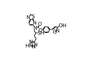 O=C(Oc1ccc(-c2cc(O)no2)cc1)N(CC(S)CCc1nn[nH]n1)c1ccc2ncsc2n1